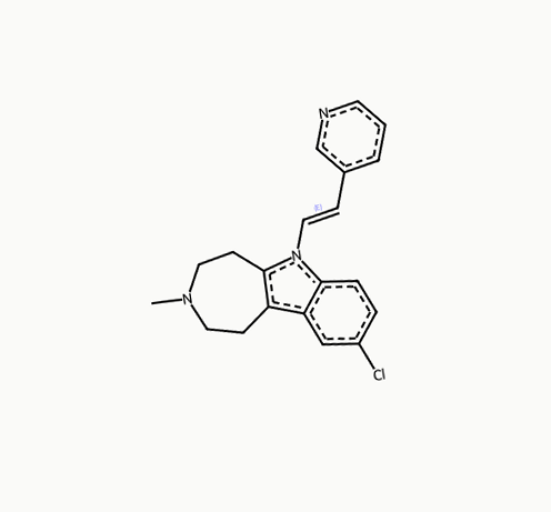 CN1CCc2c(n(/C=C/c3cccnc3)c3ccc(Cl)cc23)CC1